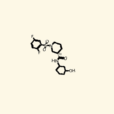 O=C(NC1CCCC(O)C1)[C@H]1CCCN(S(=O)(=O)c2cc(F)ccc2F)C1